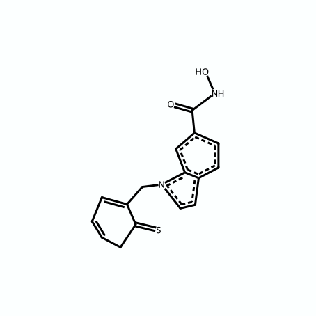 O=C(NO)c1ccc2ccn(CC3=CC=CCC3=S)c2c1